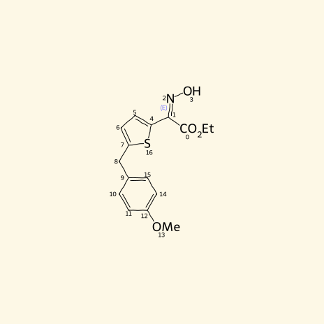 CCOC(=O)/C(=N\O)c1ccc(Cc2ccc(OC)cc2)s1